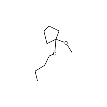 CCCCOC1(OC)CCCC1